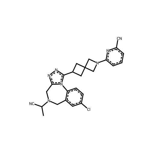 CC(C#N)N1Cc2cc(Cl)ccc2-n2c(nnc2C2CC3(C2)CN(c2cccc(C#N)n2)C3)C1